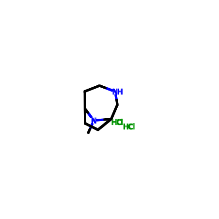 CN1C2CCNCC1CC2.Cl.Cl